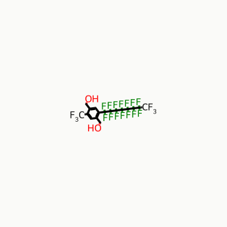 OCc1cc(C(F)(F)C(F)(F)C(F)(F)C(F)(F)C(F)(F)C(F)(F)C(F)(F)C(F)(F)F)c(CO)cc1C(F)(F)F